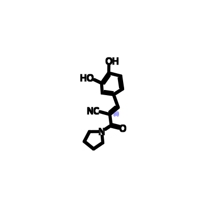 N#C/C(=C\c1ccc(O)c(O)c1)C(=O)N1CCCC1